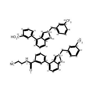 N#CCCNC(=O)c1cccc(-c2cccc3nn(Cc4cccc(C(F)(F)F)c4)cc23)c1.O=C(O)c1cccc(-c2cccc3nn(Cc4cccc(C(F)(F)F)c4)cc23)c1